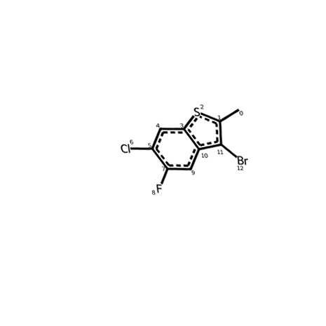 Cc1sc2cc(Cl)c(F)cc2c1Br